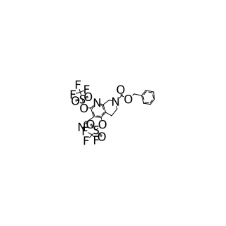 N#Cc1c(OS(=O)(=O)C(F)(F)F)nc2c(c1OS(=O)(=O)C(F)(F)F)CCN(C(=O)OCc1ccccc1)C2